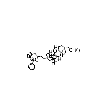 C=C(Br)C[C@@H](CC[C@@]12C[C@H]3O[C@H]4C(O1)[C@H]1O[C@@H](CC=O)CC[C@@H]1OC4[C@H]3O2)OC(=O)c1ccccc1